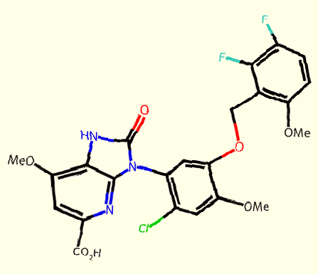 COc1cc(Cl)c(-n2c(=O)[nH]c3c(OC)cc(C(=O)O)nc32)cc1OCc1c(OC)ccc(F)c1F